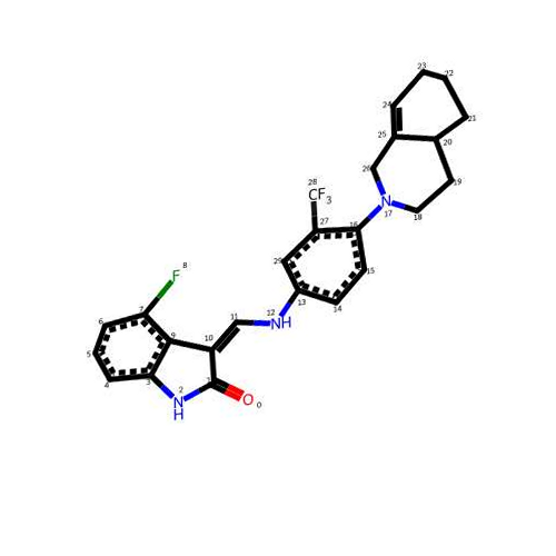 O=C1Nc2cccc(F)c2C1=CNc1ccc(N2CCC3CCCC=C3C2)c(C(F)(F)F)c1